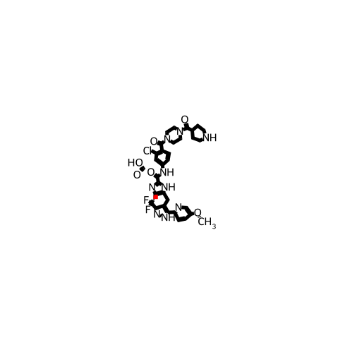 COc1ccc(-c2[nH]nc(C(F)(F)F)c2Cc2cnc(C(=O)Nc3ccc(C(=O)N4CCN(C(=O)C5CCNCC5)CC4)c(Cl)c3)[nH]2)nc1.O=CO